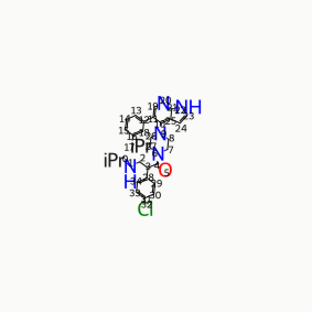 CC(C)NCC(C(=O)N1CCN(c2c(-c3cccc(C(C)C)c3)cnc3[nH]ccc23)CC1)c1ccc(Cl)cc1